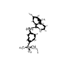 CP(C)(=O)c1ccc(Nc2nccc3ccccc23)cc1